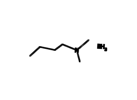 B.CCCCN(C)C